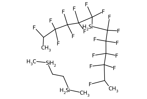 CC(F)C(F)(F)C(F)(F)C(F)(F)C(F)(F)[SiH2]C(F)(F)C(F)(F)C(F)(F)C(F)(F)C(C)F.C[SiH2]CC[SiH2]C